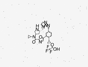 N#Cc1ccc(C2CC2)c(-c2cnc(C(=O)N(C3CC3)[C@H]3CN[C@H](Cn4ccnn4)C3)o2)c1.O=C(O)C(F)(F)F